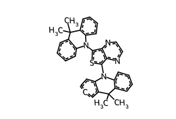 CC1(C)c2ccccc2N(c2sc(N3c4ccccc4C(C)(C)c4ccccc43)c3nccnc23)c2ccccc21